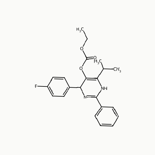 CCOC(=O)OC1=C(C(C)C)NC(c2ccccc2)=NC1c1ccc(F)cc1